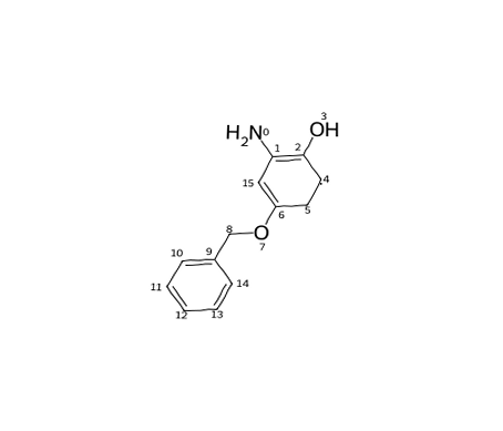 NC1=C(O)[CH]CC(OCc2ccccc2)=C1